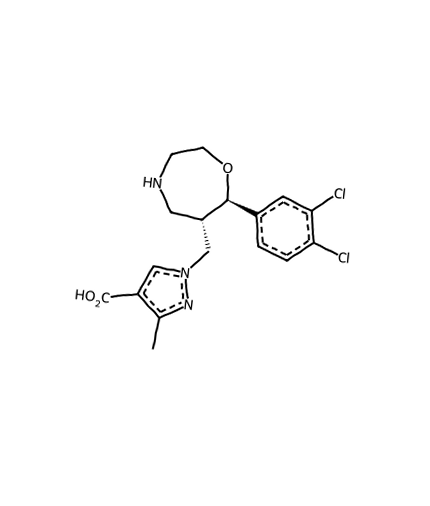 Cc1nn(C[C@@H]2CNCCO[C@H]2c2ccc(Cl)c(Cl)c2)cc1C(=O)O